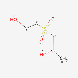 CC(O)CS(=O)(=O)CCO